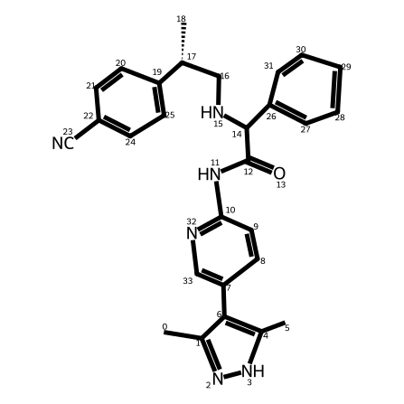 Cc1n[nH]c(C)c1-c1ccc(NC(=O)C(NC[C@@H](C)c2ccc(C#N)cc2)c2ccccc2)nc1